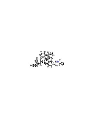 C=C(/C=C(/C)C=O)c1ccc2nc(N3CCO[C@H](CO)C3)nc(N3CCOC[C@@H]3c3ccccc3)c2c1